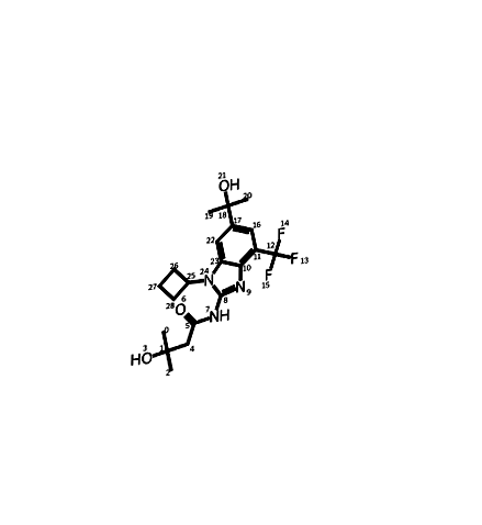 CC(C)(O)CC(=O)Nc1nc2c(C(F)(F)F)cc(C(C)(C)O)cc2n1C1CCC1